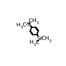 C[Si](C)=c1ccc(=[Si](C)C)cc1